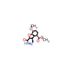 COC(=O)c1ccc(OC)c2oc3c(=O)[nH]ncc3c12